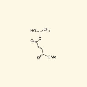 COC(=O)C=CC(=O)OC(C)O